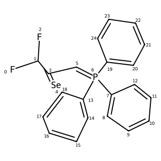 FC(F)C(=[Se])C=P(c1ccccc1)(c1ccccc1)c1ccccc1